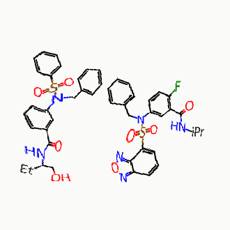 CC(C)NC(=O)c1cc(N(Cc2ccccc2)S(=O)(=O)c2cccc3nonc23)ccc1F.CC[C@H](CO)NC(=O)c1cccc(N(Cc2ccccc2)S(=O)(=O)c2ccccc2)c1